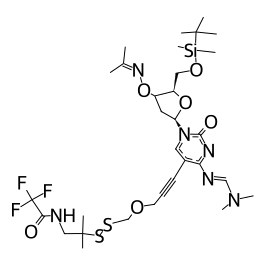 CC(C)=NOC1C[C@H](n2cc(C#CCOCSSC(C)(C)CNC(=O)C(F)(F)F)c(/N=C/N(C)C)nc2=O)O[C@@H]1CO[Si](C)(C)C(C)(C)C